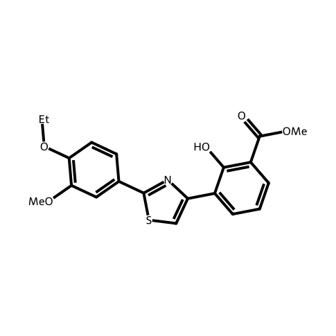 CCOc1ccc(-c2nc(-c3cccc(C(=O)OC)c3O)cs2)cc1OC